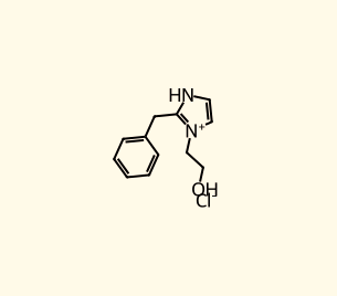 OCC[n+]1cc[nH]c1Cc1ccccc1.[Cl-]